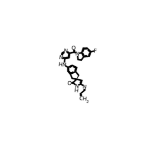 C=C/C=N\C1=C[C@]2(Cc3ccc(Nc4cc(C(=O)N5CCc6cc(F)ccc65)ncn4)cc3C2)C(=O)N1